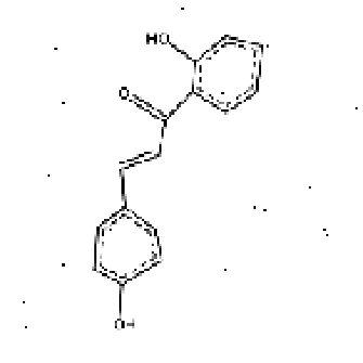 O=C(/C=C/c1ccc(O)cc1)c1cc[c]cc1O